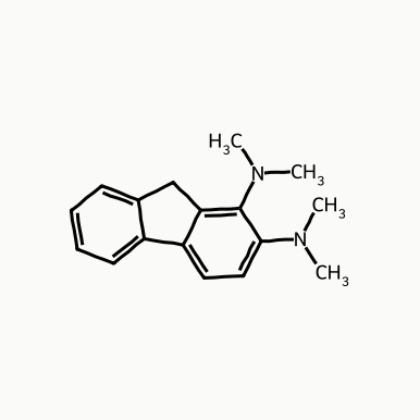 CN(C)c1ccc2c(c1N(C)C)Cc1ccccc1-2